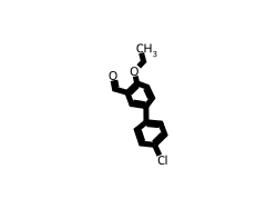 CCOc1ccc(-c2ccc(Cl)cc2)cc1C=O